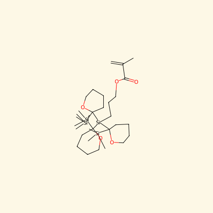 C=C(C)C(=O)OCCC[Si](C1([Si](C)(C)C)CCCCO1)(C1([Si](C)(C)C)CCCCO1)C1([Si](C)(C)C)CCCCO1